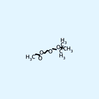 CCC(=O)OCCOCCOC(C)(C)C